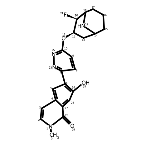 Cn1ccc2cc(-c3ccc(O[C@@H]4CC5CCCC(N5)[C@@H]4F)nn3)c(O)cc2c1=O